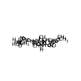 C=CC(=O)Nc1cc(Nc2nc(-c3ccnc(N4CCn5c(cc6c5CC(C)(C)C6)C4=O)c3CO)cn(C)c2=O)ccc1N1CCN(C2CCN(c3ccnc(C(C)(C)NP(=O)(O)O)c3)CC2)C[C@@H]1C